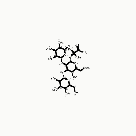 C=C(C)C(O[C@@H]1OC(COC(C)=O)[C@@H](OC(C)=O)C(O[C@@H]2OC(COC(C)=O)[C@@H](OC(C)=O)C(OC(C)=O)C2OC(C)=O)C1O[C@@H]1OC(C)[C@H](OC(C)=O)C(OC(C)=O)C1OC(C)=O)(C(C)C)C(C)(C)C